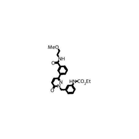 CCOC(=O)Nc1cccc(Cn2nc(-c3cccc(C(=O)NCCOC)c3)ccc2=O)c1